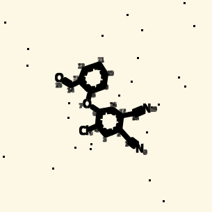 N#Cc1cc(Cl)c(Oc2ccccc2C=O)cc1C#N